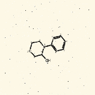 OC1COCCN1c1ccccc1